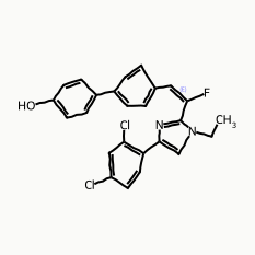 CCn1cc(-c2ccc(Cl)cc2Cl)nc1/C(F)=C\c1ccc(-c2ccc(O)cc2)cc1